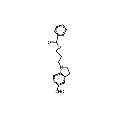 O=Cc1ccc2c(c1)CCN2CCCOC(=O)c1ccccc1